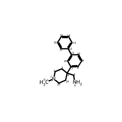 CN1CCC(CN)(c2cccc(-c3ccccc3)c2)CC1